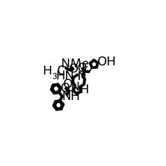 CN[C@@H](C)C(=O)N[C@H]1CN(C(=O)C[C@H]2CC[C@H](O)C2)CC[C@H]2CC[C@@H](C(=O)NC(c3ccccc3)c3ccccc3)N2C1=O